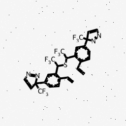 C=Cc1ccc(C2(C(F)(F)F)C=CN=N2)cc1C(SC(c1cc(C2(C(F)(F)F)C=CN=N2)ccc1C=C)C(F)(F)F)C(F)(F)F